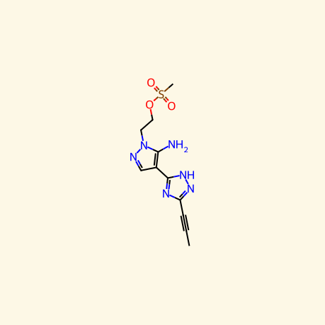 CC#Cc1n[nH]c(-c2cnn(CCOS(C)(=O)=O)c2N)n1